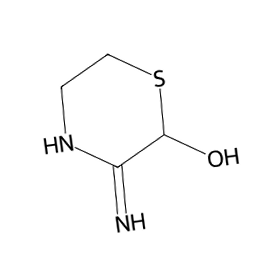 N=C1NCCSC1O